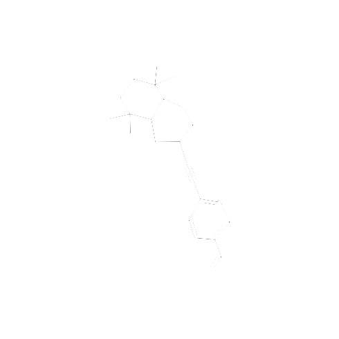 CC1(C)CCC(C)(C)C2CC(C#Cc3ccc(C=O)cn3)CCC21